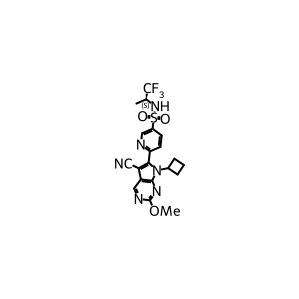 COc1ncc2c(C#N)c(-c3ccc(S(=O)(=O)N[C@@H](C)C(F)(F)F)cn3)n(C3CCC3)c2n1